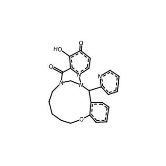 O=C1c2c(O)c(=O)ccn2N2CN1CCCCCOc1ccccc1C2c1ccccn1